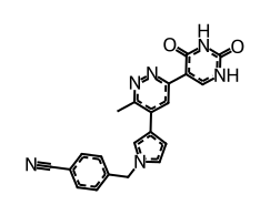 Cc1nnc(-c2c[nH]c(=O)[nH]c2=O)cc1-c1ccn(Cc2ccc(C#N)cc2)c1